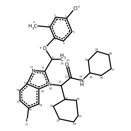 Cc1cc(Cl)ccc1OC(C)c1nc2ccc(F)cc2n1C(C(=O)NC1CCCCC1)C1CCCCC1